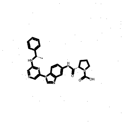 C[C@H](Nc1cncc(-n2cnc3cc(NC(=O)[C@@H]4CCCN4C(=O)O)ccc32)n1)c1ccccc1